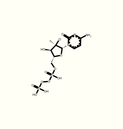 C[C@@]1(Cl)[C@H](O)[C@@H](COP(=O)(O)OOP(=O)(O)O)O[C@H]1n1ccc(N)nc1=O